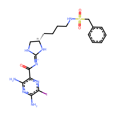 Nc1nc(N)c(C(=O)/N=C2\NC[C@H](CCCCNS(=O)(=O)Cc3ccccc3)N2)nc1I